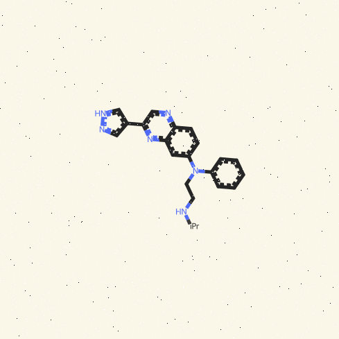 CC(C)NCCN(c1ccccc1)c1ccc2ncc(-c3cn[nH]c3)nc2c1